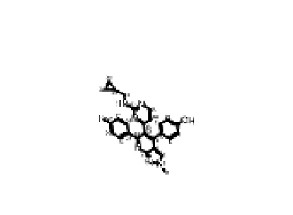 Cn1cc2c(-c3ccc(O)cc3)c(-c3ccnc(NCC4CC4)n3)c(-c3ccc(F)cc3)nc2n1